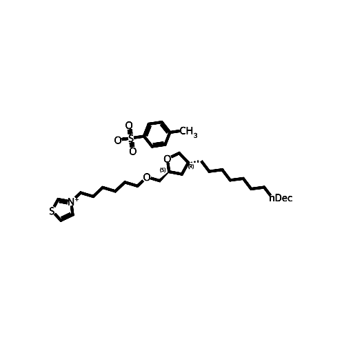 CCCCCCCCCCCCCCCCC[C@H]1CO[C@H](COCCCCCC[n+]2ccsc2)C1.Cc1ccc(S(=O)(=O)[O-])cc1